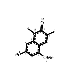 COc1cc(C(C)C)cc2c1cc(C)c(=O)n2C